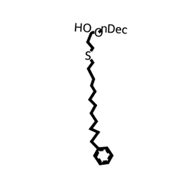 CCCCCCCCCCOC(O)CCSCCCCCCCCCCCCc1ccccc1